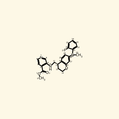 COC(=O)c1ccncc1NC[C@@H]1CCOc2cc(N(C)c3ccccc3F)ccc21